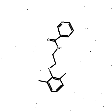 Cc1cccc(C)c1SCCNC(=O)c1cccnc1